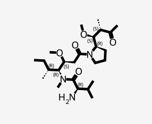 CC[C@@H](C)[C@H]([C@H](CC(=O)N1CCC[C@@H]1[C@@H](OC)[C@H](C)C(C)=O)OC)N(C)C(=O)[C@H](N)C(C)C